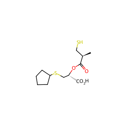 C[C@H](CS)C(=O)O[C@@H](CSC1CCCC1)C(=O)O